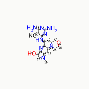 C[C@H](Nc1nc(N)nc(N)c1C#N)c1nc2c(O)cn(C)c2cc1N1CCOCC1